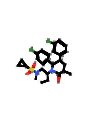 CC[C@@H](CN(C)S(=O)(=O)C1CC1)N1C(=O)C(C)C[C@H](c2cccc(Cl)c2)C1c1ccc(Cl)cc1